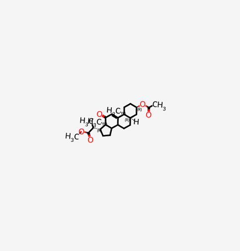 COC(=O)C(C)[C@H]1CCC2C3CC[C@@H]4C[C@H](OC(C)=O)CC[C@]4(C)C3=CC(=O)[C@@]21C